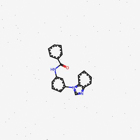 O=C(Nc1cccc(-n2cnc3ccccc32)c1)c1ccccc1